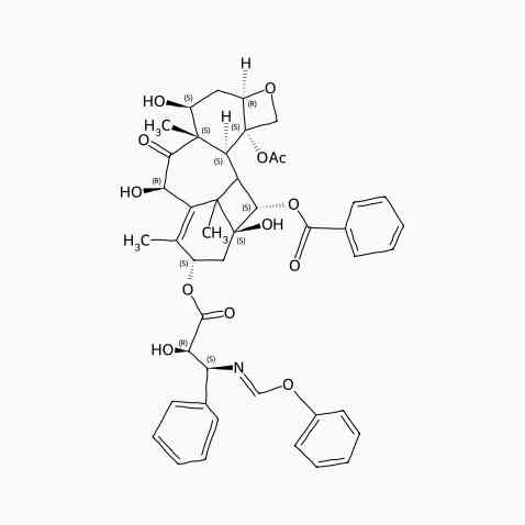 CC(=O)O[C@@]12CO[C@@H]1C[C@H](O)[C@@]1(C)C(=O)[C@H](O)C3=C(C)[C@@H](OC(=O)[C@H](O)[C@@H](N=COc4ccccc4)c4ccccc4)C[C@@]4(O)[C@@H](OC(=O)c5ccccc5)C([C@H]21)C34C